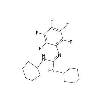 Fc1c(F)c(F)c(N=C(NC2CCCCC2)NC2CCCCC2)c(F)c1F